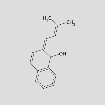 CC(C)=C/C=C1/C=Cc2ccccc2C1O